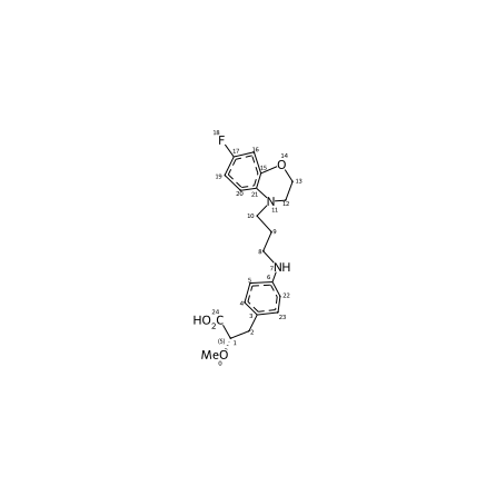 CO[C@@H](Cc1ccc(NCCCN2CCOc3cc(F)ccc32)cc1)C(=O)O